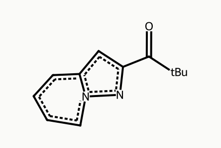 CC(C)(C)C(=O)c1cc2ccccn2n1